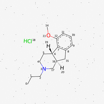 CCCN1CC[C@@H]2c3c(cccc3OC)C[C@H]2C1.Cl